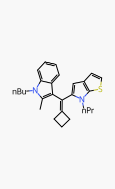 CCCCn1c(C)c(C(=C2CCC2)c2cc3ccsc3n2CCC)c2ccccc21